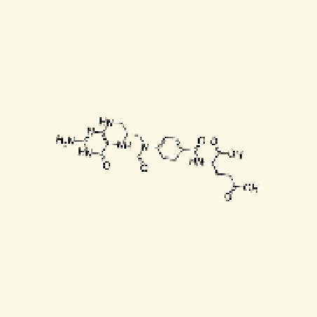 Nc1nc2c(c(=O)[nH]1)N[C@@H](CN(C=O)c1ccc(C(=O)N[C@H](CCC(=O)O)C(=O)O)cc1)CN2